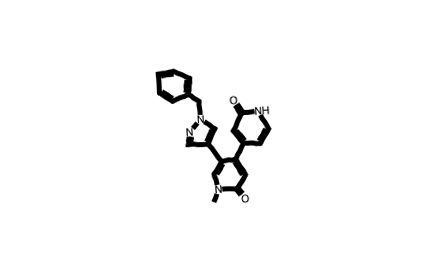 Cn1cc(-c2cnn(Cc3ccccc3)c2)c(-c2cc[nH]c(=O)c2)cc1=O